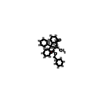 C[C@H]1[C@H]([C]=O)[N+]1(C(=O)OCc1ccccc1)C(c1ccccc1)(c1ccccc1)c1ccccc1